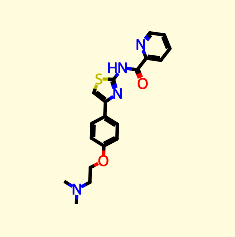 CN(C)CCOc1ccc(-c2csc(NC(=O)c3ccccn3)n2)cc1